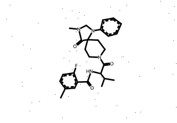 Cc1ccc(F)c(C(=O)NC(C(=O)N2CCC3(CC2)C(=O)N(C)CN3c2ccccc2)C(C)C)c1